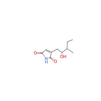 CCC(C)C(O)CC1=CC(=O)NC1=O